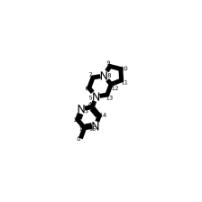 Cc1cnc(N2CCN3CCCC3C2)cn1